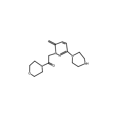 C=C1C=CC(N2CCNCC2)=NN1CC(=O)N1CCOCC1